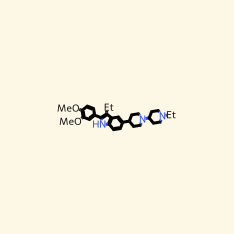 CCc1c(-c2ccc(OC)c(OC)c2)[nH]c2ccc(C3CCN(C4CCN(CC)CC4)CC3)cc12